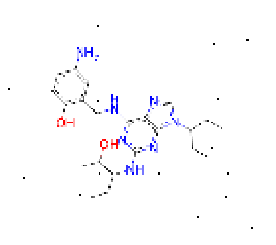 CCC(Nc1nc(NCc2cc(N)ccc2O)c2ncn(C(CC)CC)c2n1)C(C)O